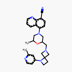 Cc1cc(N2CCC23CN(CC2CN(c4ccc(C#N)c5ncccc45)CC(C)O2)C3)ccn1